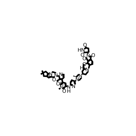 C[C@H]1CN([C@@H]2CCN3Cc4ccc5c(c4OC[C@@H]3C2)C(=O)N(C2CCC(=O)NC2=O)C5=O)CCN1c1ccc(Nc2cc(-c3ccnc(N4CCn5c(cc6c5CC(C)(C)C6)C4=O)c3CO)cn(C)c2=O)nc1